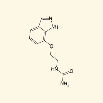 NC(=O)NCCOc1cccc2cn[nH]c12